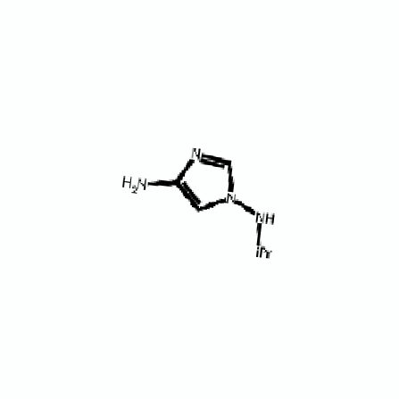 CC(C)Nn1cnc(N)c1